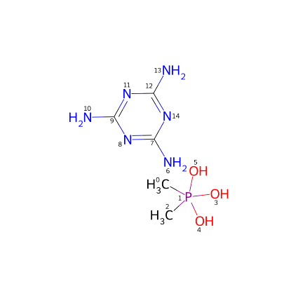 CP(C)(O)(O)O.Nc1nc(N)nc(N)n1